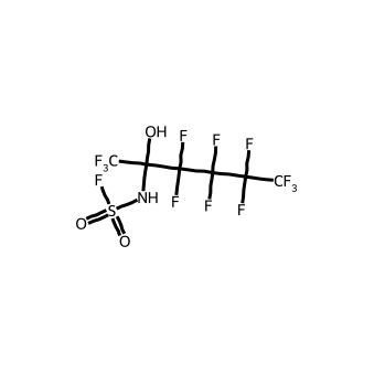 O=S(=O)(F)NC(O)(C(F)(F)F)C(F)(F)C(F)(F)C(F)(F)C(F)(F)F